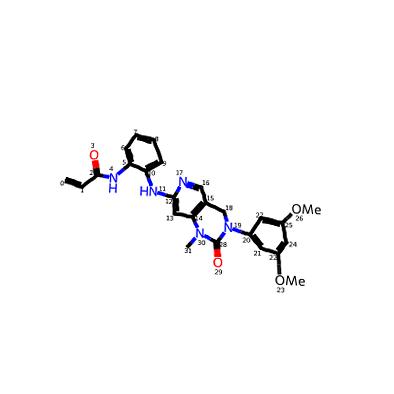 C=CC(=O)Nc1ccccc1Nc1cc2c(cn1)CN(c1cc(OC)cc(OC)c1)C(=O)N2C